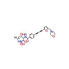 CC(O)C(NC(=O)c1ccc(C#CC#Cc2ccc(CN3CCOCC3)o2)cc1)C(=O)NO